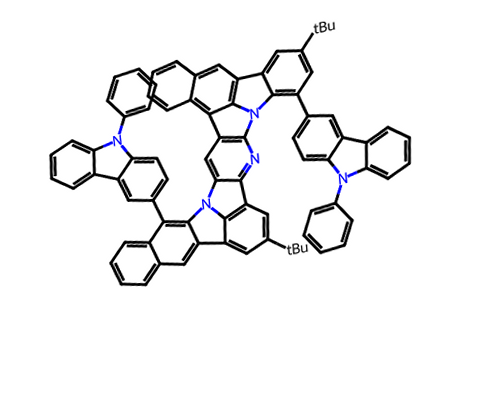 CC(C)(C)c1cc(-c2ccc3c(c2)c2ccccc2n3-c2ccccc2)c2c(c1)c1cc3ccccc3c3c4cc5c(nc4n2c13)c1cc(C(C)(C)C)cc2c3cc4ccccc4c(-c4ccc6c(c4)c4ccccc4n6-c4ccccc4)c3n5c21